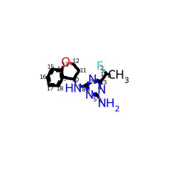 C[C@H](F)c1nc(N)nc(N[C@@H]2CCOc3ccccc32)n1